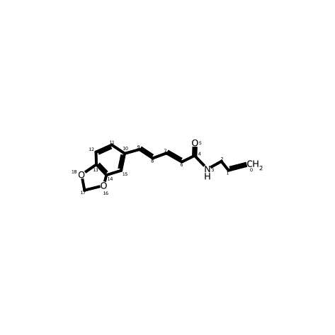 C=CCNC(=O)/C=C/C=Cc1ccc2c(c1)OCO2